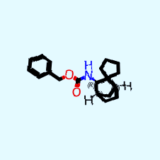 O=C(N[C@@H]1[C@@H]2CC[C@@H](C2)C12CCCC2)OCc1ccccc1